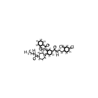 CCNC(=O)N1CCCN(c2ccc(C(=O)NCCc3ccc(Cl)cc3Cl)cc2NC(=O)c2ccccc2Cl)CC1